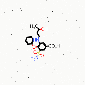 CC(O)CCNc1cc(C(=O)O)cc(S(N)(=O)=O)c1Oc1ccccc1